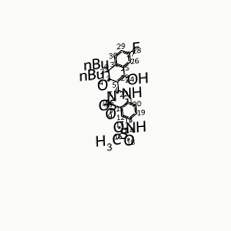 CCCCC1(CCCC)C(=O)C(C2=NS(=O)(=O)c3cc(NS(C)(=O)=O)ccc3N2)=C(O)c2cc(F)ccc21